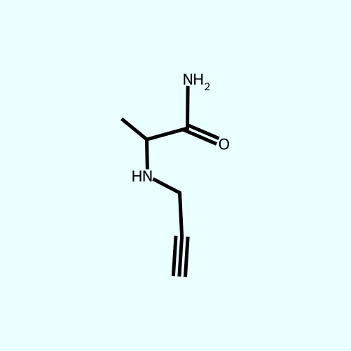 C#CCNC(C)C(N)=O